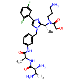 CC(N)[C@H](N)C(=O)N[C@@H](C)C(=O)Nc1cccc(Cn2cc(-c3cc(F)ccc3F)nc2[C@H](N(CCCN)C(=O)CO)C(C)(C)C)c1